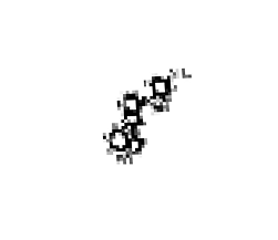 CCN1CC=C(c2cc3c([SH]4C=Nc5cc(N)ccc54)ccnc3s2)C12CCOCC2